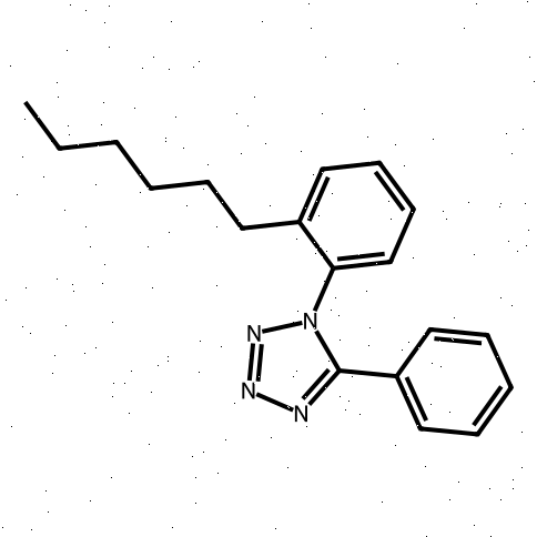 CCCCCCc1ccccc1-n1nnnc1-c1ccccc1